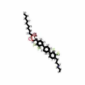 CC/C=C/CCc1ccc(-c2ccc(-c3ccc(C4COC(CCCCCCCCC)OC4)c(F)c3F)cc2)c(F)c1F